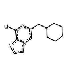 Clc1nc(CC2CCCCC2)cn2ccnc12